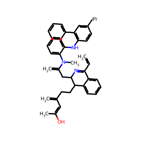 C=CC1=NC(CC(=C)N(C)c2ccccc2Nc2ccc(C(C)C)cc2-c2ccccc2)C(CCC(=C)/C=C(\C)O)c2ccccc21